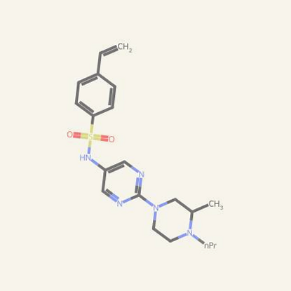 C=Cc1ccc(S(=O)(=O)Nc2cnc(N3CCN(CCC)C(C)C3)nc2)cc1